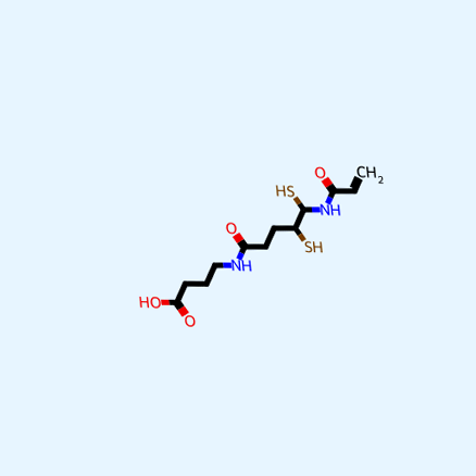 C=CC(=O)NC(S)C(S)CCC(=O)NCCCC(=O)O